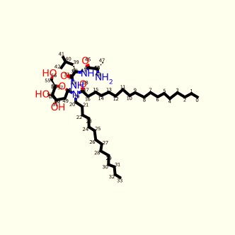 CCCCCCCCCCCCCCCCCC(=O)N(CCCCCCCCCCCCCC)[C@@]1(NC(=O)[C@H](CC(C)C)NC(=O)[C@H](C)N)C[C@@H](O)[C@H](O)[C@@H](CO)O1